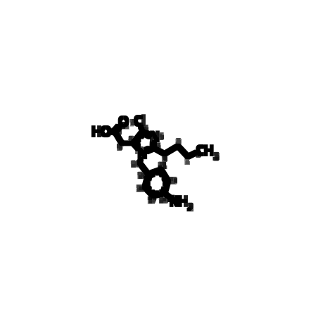 CCCCc1nc(Cl)c(CC(=O)O)n1Cc1ccc(N)cc1